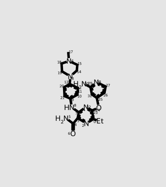 CCc1nc(C(N)=O)c(Nc2ccc(N3CCN(C)CC3)cc2)nc1Oc1ccnc(N)c1